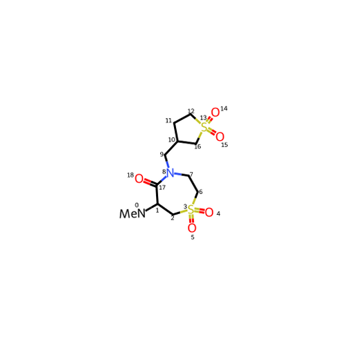 CNC1CS(=O)(=O)CCN(CC2CCS(=O)(=O)C2)C1=O